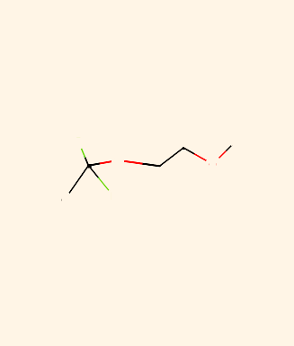 CCOCCOC(F)(F)C(F)(F)F